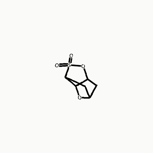 O=S1(=O)OC2CC3CC1C2O3